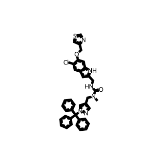 CN(Cc1cnn(C(c2ccccc2)(c2ccccc2)c2ccccc2)c1)C(=O)NCc1cc2cc(Cl)c(OCc3cscn3)cc2[nH]1